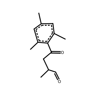 Cc1cc(C)c(C(=O)CC(C)C=O)c(C)c1